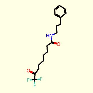 O=C(CCCCCCC(=O)C(F)(F)F)NCCCc1ccccc1